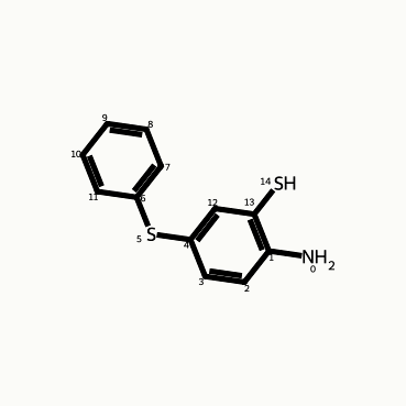 Nc1ccc(Sc2ccccc2)cc1S